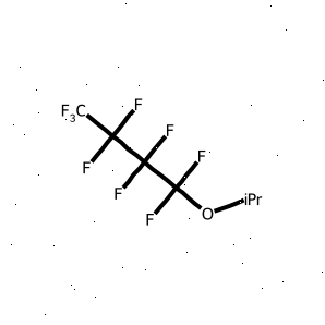 CC(C)OC(F)(F)C(F)(F)C(F)(F)C(F)(F)F